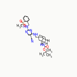 CC(C)(C)OC(=O)N[C@H]1[C@@H]2CC3C[C@H]1C[C@@](CNc1nc(NCc4ccccc4S(C)(=O)=O)ncc1C#N)(C3)C2